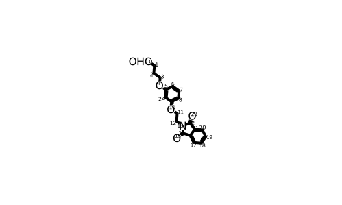 O=CCCCOc1cccc(OCCN2C(=O)c3ccccc3C2=O)c1